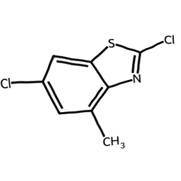 Cc1cc(Cl)cc2sc(Cl)nc12